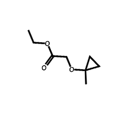 CCOC(=O)COC1(C)CC1